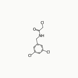 O=C(CCl)NCc1cc(Cl)cc(Cl)c1